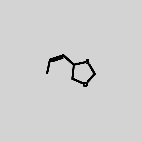 C/C=C\C1COCS1